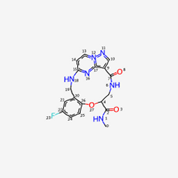 CNC(=O)C1CNC(=O)c2cnn3ccc(nc23)NCc2cc(F)ccc2O1